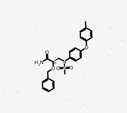 Cc1ccc(Oc2ccc(N(C[C@@H](OCc3ccccc3)C(N)=O)S(C)(=O)=O)cc2)cc1